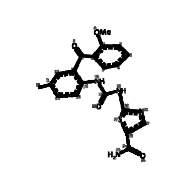 COc1ccccc1C(=O)c1cc(C)ccc1NC(=O)Nc1ncc(C(N)=O)s1